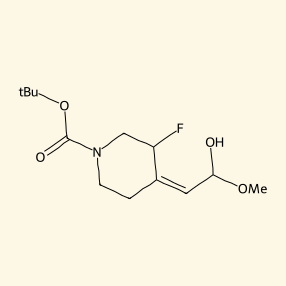 COC(O)/C=C1/CCN(C(=O)OC(C)(C)C)CC1F